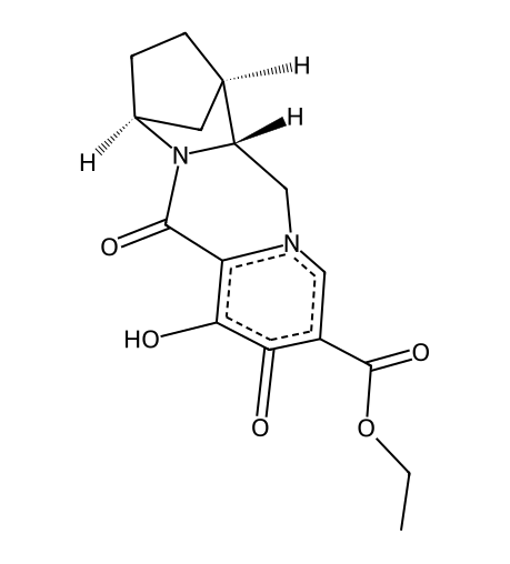 CCOC(=O)c1cn2c(c(O)c1=O)C(=O)N1[C@H]3CC[C@H](C3)[C@@H]1C2